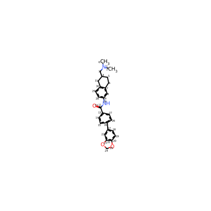 CN(C)CC1CCc2cc(NC(=O)c3ccc(-c4ccc5c(c4)OCO5)cc3)ccc2C1